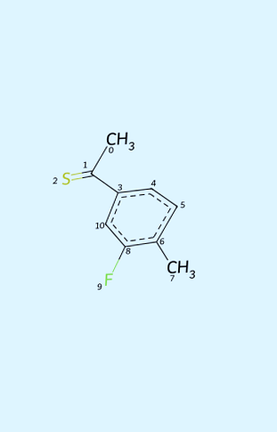 CC(=S)c1ccc(C)c(F)c1